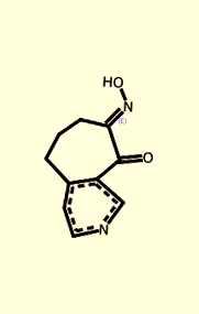 O=C1/C(=N/O)CCCc2ccncc21